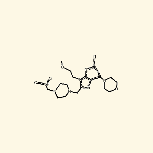 COCCn1c(CN2CCN(C[SH](=O)=O)CC2)nc2c(N3CCOCC3)nc(Cl)nc21